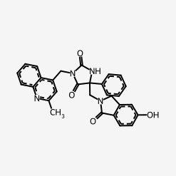 Cc1cc(CN2C(=O)NC(CN3Cc4cc(O)ccc4C3=O)(c3ccccc3)C2=O)c2ccccc2n1